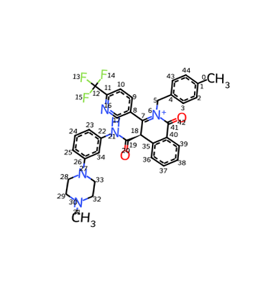 Cc1ccc(C[N+]2=C(c3ccc(C(F)(F)F)nc3)[C@H](C(=O)Nc3cccc(N4CCN(C)CC4)c3)c3ccccc3C2=O)cc1